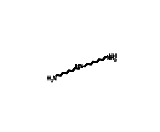 NCCCCCCCCNCCCCCCCCN.[LiH]